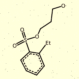 CCc1ccccc1S(=O)(=O)OCCC[O]